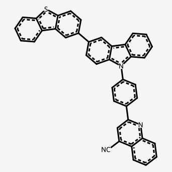 N#Cc1cc(-c2ccc(-n3c4ccccc4c4cc(-c5ccc6sc7ccccc7c6c5)ccc43)cc2)nc2ccccc12